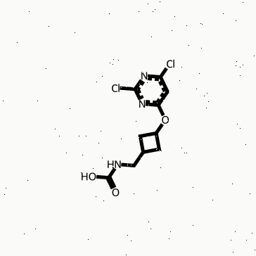 O=C(O)NCC1CC(Oc2cc(Cl)nc(Cl)n2)C1